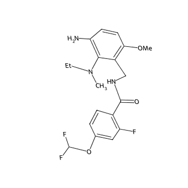 CCN(C)c1c(N)ccc(OC)c1CNC(=O)c1ccc(OC(F)F)cc1F